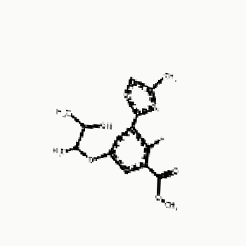 COC(=O)c1cc(OC(C)C(C)O)cc(-c2ncc(C)s2)c1F